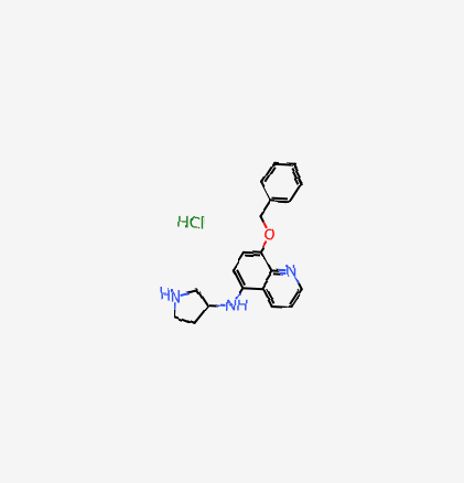 Cl.c1ccc(COc2ccc(NC3CCNC3)c3cccnc23)cc1